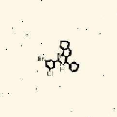 Clc1cc(Br)cc(C2N=c3c(ccc4ccccc34)=C(c3ccccc3)N2)c1